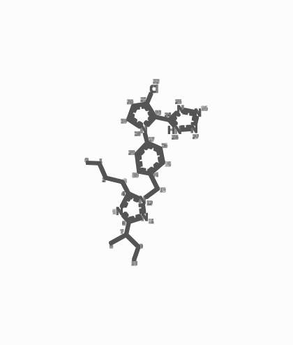 CCCCc1nc(C(C)CC)nn1Cc1ccc(-n2ccc(Cl)c2-c2nnn[nH]2)cc1